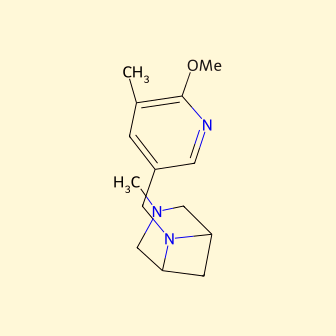 COc1ncc(CN2C3CC2CN(C)C3)cc1C